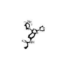 C=CC(=O)Nc1ccc2c(N3CC[C@@](C)(N)C3)nc(N3CCOCC3)nc2c1